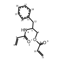 C=CC(=O)NC(COC(=O)C=C)Cc1ccccc1